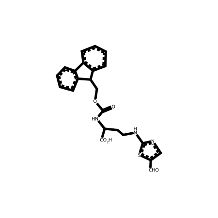 O=Cc1cnc(NCCC(NC(=O)OCC2c3ccccc3-c3ccccc32)C(=O)O)s1